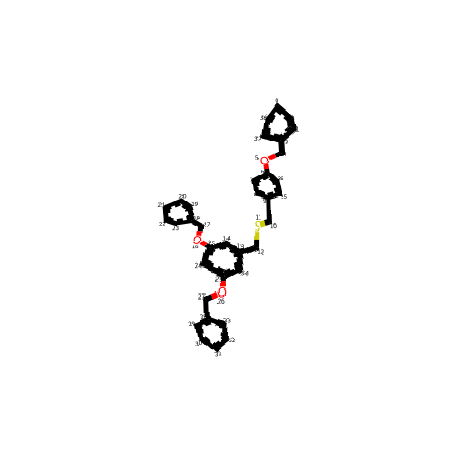 c1ccc(COc2ccc(CSCc3cc(OCc4ccccc4)cc(OCc4ccccc4)c3)cc2)cc1